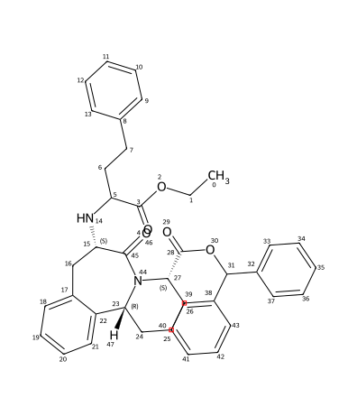 CCOC(=O)C(CCc1ccccc1)N[C@H]1Cc2ccccc2[C@H]2CCC[C@@H](C(=O)OC(c3ccccc3)c3ccccc3)N2C1=O